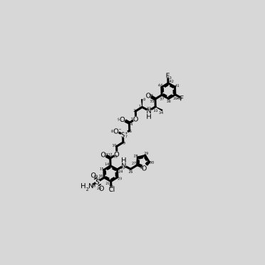 C[C@H](COC(=O)C[S+]([O-])CCOC(=O)c1cc(S(N)(=O)=O)c(Cl)cc1NCc1ccco1)N[C@H](C)C(=O)c1cc(F)cc(F)c1